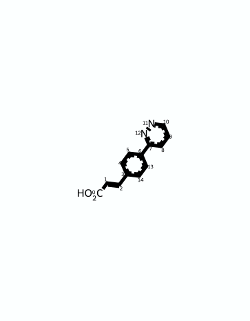 O=C(O)/C=C/c1ccc(-c2cccnn2)cc1